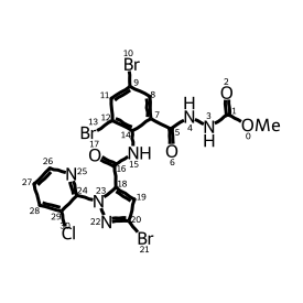 COC(=O)NNC(=O)c1cc(Br)cc(Br)c1NC(=O)c1cc(Br)nn1-c1ncccc1Cl